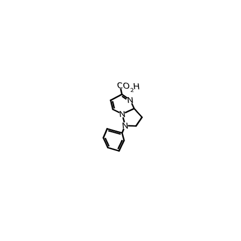 O=C(O)C1=NC2CCN(c3ccccc3)N2C=C1